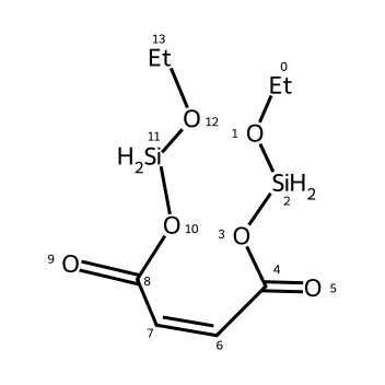 CCO[SiH2]OC(=O)/C=C\C(=O)O[SiH2]OCC